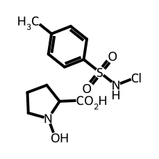 Cc1ccc(S(=O)(=O)NCl)cc1.O=C(O)C1CCCN1O